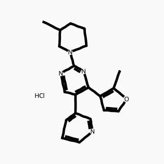 Cc1occc1-c1nc(N2CCCC(C)C2)ncc1-c1cccnc1.Cl